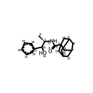 C[C@@H](NC(=O)C12CC3CC(CC(C3)C1)C2)C(O)c1ccccc1